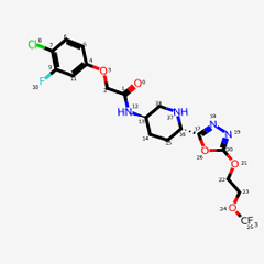 O=C(COc1ccc(Cl)c(F)c1)N[C@@H]1CC[C@@H](c2nnc(OCCOC(F)(F)F)o2)NC1